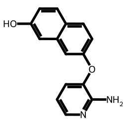 Nc1ncccc1Oc1ccc2ccc(O)cc2c1